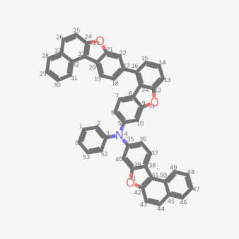 c1ccc(N(c2ccc3c(c2)oc2cccc(-c4ccc5c(c4)oc4ccc6ccccc6c45)c23)c2ccc3c(c2)oc2ccc4ccccc4c23)cc1